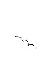 [O]CCCCC(O)CO